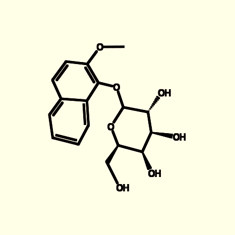 COc1ccc2ccccc2c1OC1O[C@H](CO)[C@H](O)[C@H](O)[C@H]1O